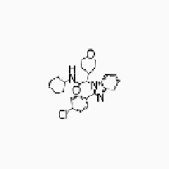 O=C(NC1CCCCC1)C(C1CCOCC1)n1c(-c2ccc(Cl)cc2)nc2ccccc21